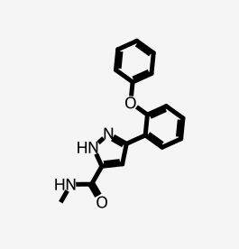 CNC(=O)c1cc(-c2ccccc2Oc2ccccc2)n[nH]1